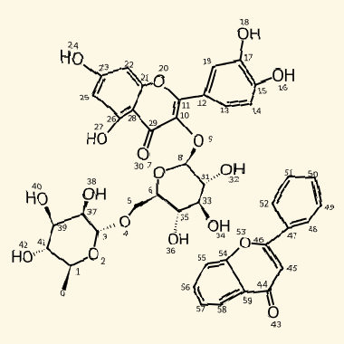 C[C@@H]1O[C@@H](OC[C@H]2O[C@@H](Oc3c(-c4ccc(O)c(O)c4)oc4cc(O)cc(O)c4c3=O)[C@H](O)[C@@H](O)[C@@H]2O)[C@H](O)[C@H](O)[C@H]1O.O=c1cc(-c2ccccc2)oc2ccccc12